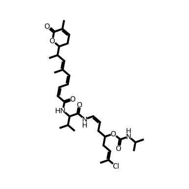 CC1=CCC(C(C)/C=C(C)/C=C\C=C/C(=O)NC(C(=O)N/C=C\CC(C/C=C(\C)Cl)OC(=O)NC(C)C)C(C)C)OC1=O